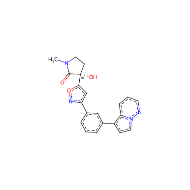 CN1CC[C@@](O)(c2cc(-c3cccc(-c4ccn5ncccc45)c3)no2)C1=O